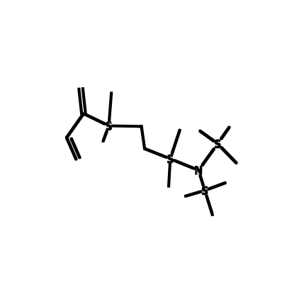 C=CC(=C)S(C)(C)CCS(C)(C)N(S(C)(C)C)S(C)(C)C